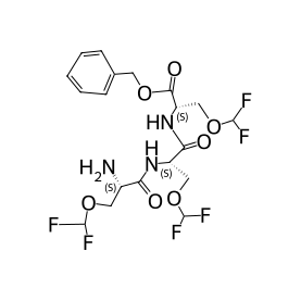 N[C@@H](COC(F)F)C(=O)N[C@@H](COC(F)F)C(=O)N[C@@H](COC(F)F)C(=O)OCc1ccccc1